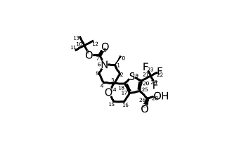 C[C@H]1CC2(CCN1C(=O)OC(C)(C)C)OCCc1c2sc(C(F)(F)F)c1C(=O)O